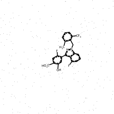 Cc1cccc(C(F)(F)F)c1Cn1nc(-c2cc(O)c(C(=O)O)cc2F)c2c(F)cccc21